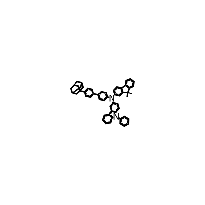 CC1(C)c2ccccc2-c2ccc(N(c3ccc(-c4ccc(C56CC7CC(CC(C7)C5)C6)cc4)cc3)c3ccc4c(c3)c3ccccc3n4-c3ccccc3)cc21